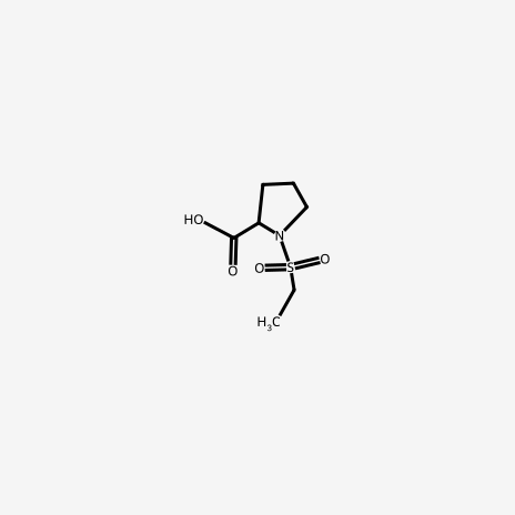 CCS(=O)(=O)N1CCCC1C(=O)O